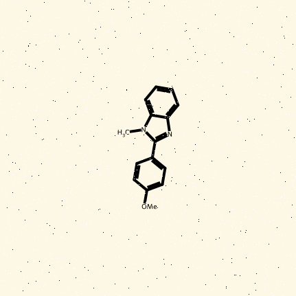 COc1ccc(-c2nc3ccccc3n2C)cc1